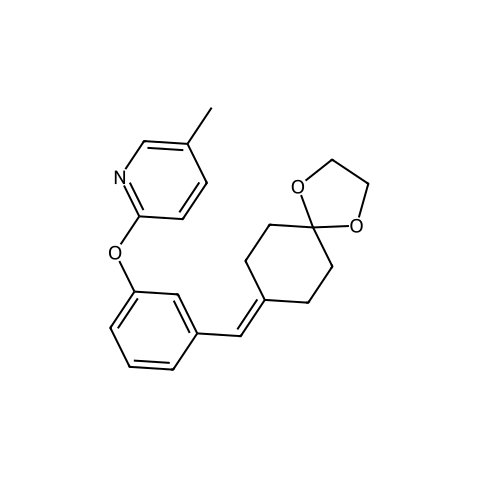 Cc1ccc(Oc2cccc(C=C3CCC4(CC3)OCCO4)c2)nc1